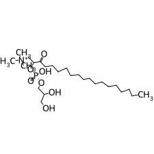 CCCCCCCCCCCCCCCCC(=O)C(C[N+](C)(C)C)OP(=O)(O)OCC(O)CO